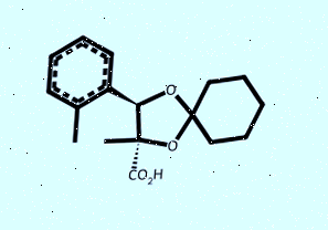 Cc1ccccc1[C@H]1OC2(CCCCC2)O[C@]1(C)C(=O)O